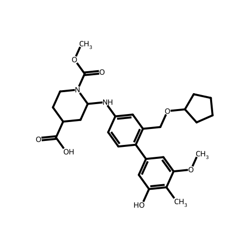 COC(=O)N1CCC(C(=O)O)CC1Nc1ccc(-c2cc(O)c(C)c(OC)c2)c(COC2CCCC2)c1